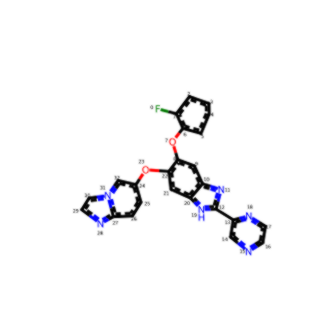 Fc1ccccc1Oc1cc2nc(-c3cnccn3)[nH]c2cc1Oc1ccc2nccn2c1